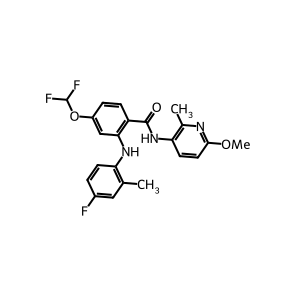 COc1ccc(NC(=O)c2ccc(OC(F)F)cc2Nc2ccc(F)cc2C)c(C)n1